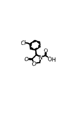 O=C1OCN(C(=O)O)C1c1cccc(Cl)c1